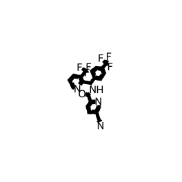 N#Cc1ccc(C(=O)N[C@@H](c2ccc(C(F)(F)F)cc2)c2ncccc2C(F)(F)F)nc1